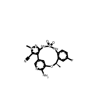 C[C@H]1Oc2cc(cnc2N)-c2c(nn(C)c2C#N)NS(=O)(=O)Nc2ccc(F)cc21